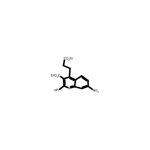 CCCc1nc2cc([N+](=O)[O-])ccc2c(CCC(=O)OCC)c1C(=O)OCC